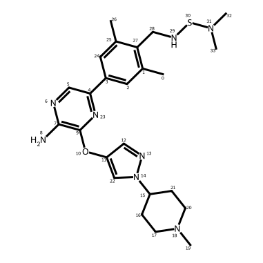 Cc1cc(-c2cnc(N)c(Oc3cnn(C4CCN(C)CC4)c3)n2)cc(C)c1CNSN(C)C